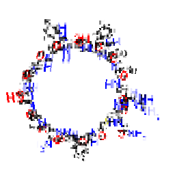 CCCC[C@H]1C(=O)N(C)[C@@H](CCCC)C(=O)N[C@@H](CCCNC(=N)N)C(=O)N[C@H](C(=O)NCC(N)=O)CSCC(=O)N[C@@H](Cc2ccccc2)C(=O)N(C)[C@@H](C)C(=O)N[C@@H](CC(N)=O)C(=O)N2CCC[C@H]2C(=O)N[C@@H](CO)C(=O)NC(CC(C)C)C(=O)N(C)CC(=O)N[C@@H](Cc2c[nH]c3ccccc23)C(=O)N[C@@H](CO)C(=O)N[C@@H](Cc2c[nH]c3ccccc23)C(=O)N1C